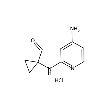 Cl.Nc1ccnc(NC2(C=O)CC2)c1